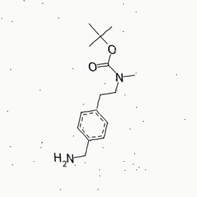 CN(CCc1ccc(CN)cc1)C(=O)OC(C)(C)C